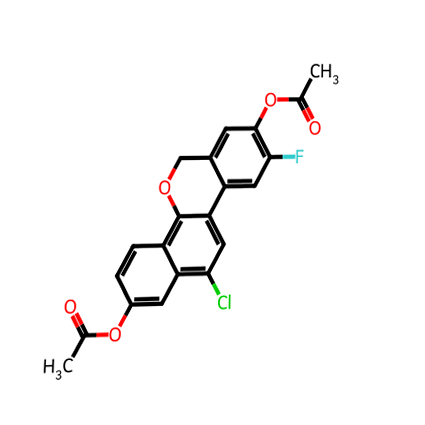 CC(=O)Oc1ccc2c3c(cc(Cl)c2c1)-c1cc(F)c(OC(C)=O)cc1CO3